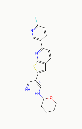 N=C/C(=C\NC1CCCCO1)c1cc2ccc(-c3ccc(F)nc3)nc2s1